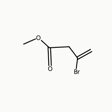 C=C(Br)CC(=O)OC